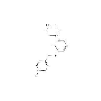 N#Cc1ccc(COc2cccc(C3CCNCC3)n2)nc1